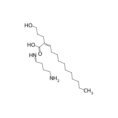 CCCCCCCCCCC=C(CCCO)C(=O)O.N=CCCCN